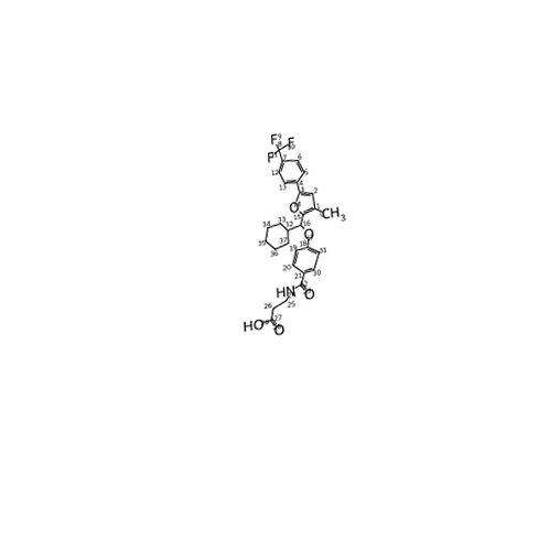 Cc1cc(-c2ccc(C(F)(F)F)cc2)oc1C(Oc1ccc(C(=O)NCCC(=O)O)cc1)C1CCCCC1